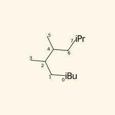 [CH2]CC(C)CC(C)C(C)CC(C)C